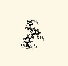 Cc1csc2nc(Nc3cnn(C)c3)nc(Nc3cccc(C(C)(C)O)c3)c12